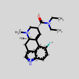 CCN(CC)C(=O)[C@@H]1C=C2c3c(F)ccc4[nH]cc(c34)C[C@H]2N(C)C1